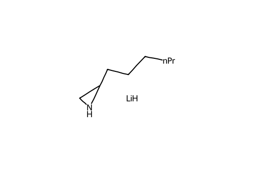 CCCCCCC1CN1.[LiH]